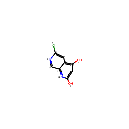 Oc1cc(O)c2cc(Cl)ncc2n1